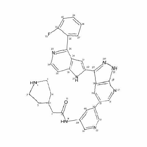 O=C(CC1CCNCC1)Nc1cncc(-c2cnc3[nH]nc(-c4cc5c(-c6ccccc6F)nccc5[nH]4)c3c2)c1